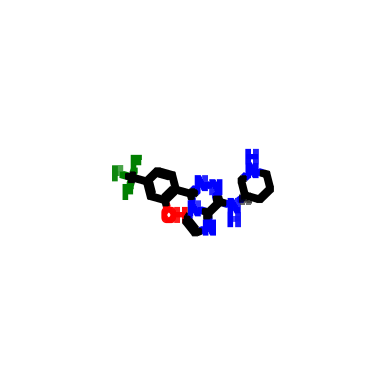 Oc1cc(C(F)(F)F)ccc1-c1nnc(N[C@@H]2CCCNC2)c2nccn12